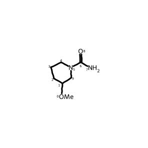 COC1CCCN(C(N)=O)C1